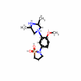 COc1ccc(N2CCCS2(=O)=O)cc1N1CC(C)NC(C)C1